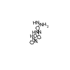 Cn1c(-c2cccc(-c3nc4cc(C(=N)N)ccc4[nH]3)c2O)nc2ccccc21